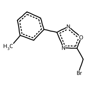 Cc1cccc(-c2noc(CBr)n2)c1